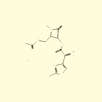 CO/N=C(\C(=O)NC1C(=O)N(S(=O)(=O)O)C1CNC(=O)C(F)(F)F)c1csc(N)n1.[NaH]